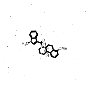 COc1cccc2c1CC[C@H]1[C@@H]2CCCN1C(=O)c1cn(C)c2ccccc12